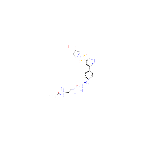 CC(C)(C)c1nc(CCNC(=O)Nc2nc3ccc(-c4cncc(S(=O)(=O)N5CCC(O)C5)c4)cc3s2)no1